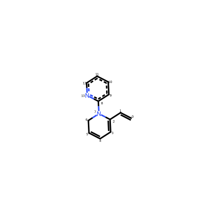 C=CC1=CC=CCN1c1ccccn1